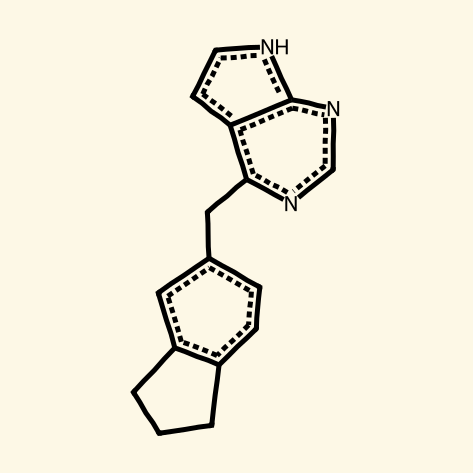 c1nc(Cc2ccc3c(c2)CCC3)c2cc[nH]c2n1